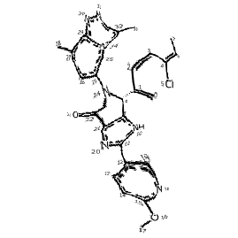 C=C(/C=C\C(Cl)=C/C)[C@@H]1c2[nH]c(-c3ccc(OC)nc3)nc2C(=O)N1c1cc(C)c2nnc(C)n2c1